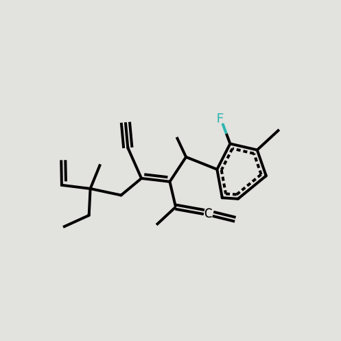 C#C/C(CC(C)(C=C)CC)=C(/C(C)=C=C)C(C)c1cccc(C)c1F